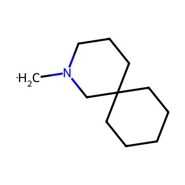 [CH2]N1CCCC2(CCCCC2)C1